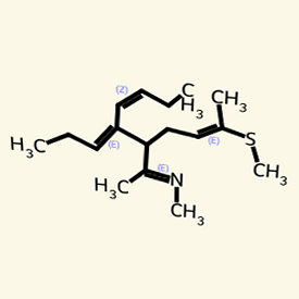 CC/C=C\C(=C/CC)C(C/C=C(\C)SC)/C(C)=N/C